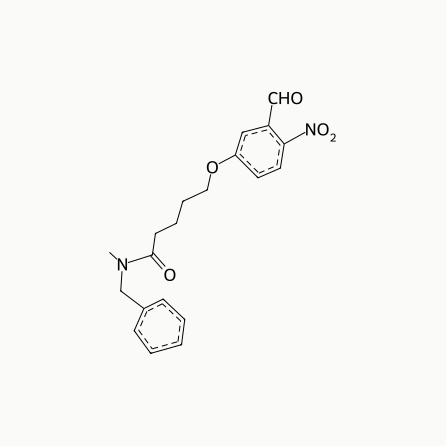 CN(Cc1ccccc1)C(=O)CCCCOc1ccc([N+](=O)[O-])c(C=O)c1